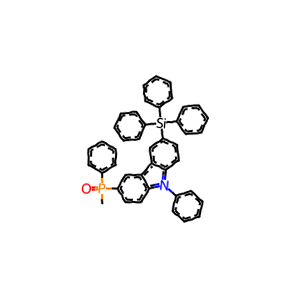 CP(=O)(c1ccccc1)c1ccc2c(c1)c1cc([Si](c3ccccc3)(c3ccccc3)c3ccccc3)ccc1n2-c1ccccc1